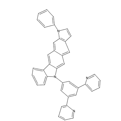 c1ccc(-n2ccc3cc4cc5c(cc4cc32)c2ccccc2n5-c2cc(-c3ccccn3)cc(-c3ccccn3)c2)cc1